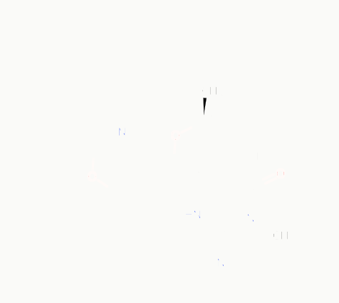 C[C@H]1C[C@H]2C(=O)N(C)C(=N)N[C@@]2(c2cc(Oc3cc4ccccc4cn3)ccc2F)CO1